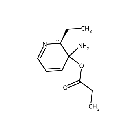 CCC(=O)OC1(N)C=CC=N[C@H]1CC